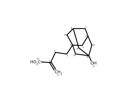 C=C(CCC12CC3CC(CC(O)(C3)C1)C2)C(=O)O